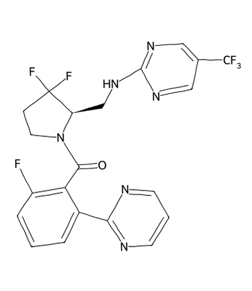 O=C(c1c(F)cccc1-c1ncccn1)N1CCC(F)(F)[C@H]1CNc1ncc(C(F)(F)F)cn1